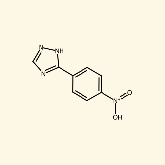 O=[N+](O)c1ccc(-c2ncn[nH]2)cc1